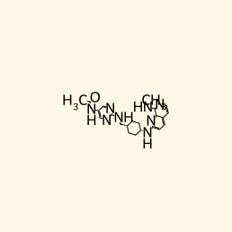 CNc1nccc2ccc(N[C@H]3CC[C@H](CNc4ncc(NC(C)=O)cn4)CC3)nc12